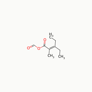 CCC(CC)=C(C)C(=O)OC=O